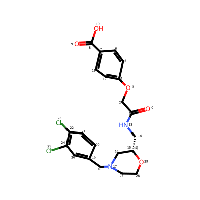 O=C(COc1ccc(C(=O)O)cc1)NC[C@H]1CN(Cc2ccc(Cl)c(Cl)c2)CCO1